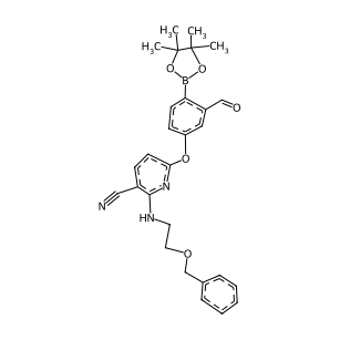 CC1(C)OB(c2ccc(Oc3ccc(C#N)c(NCCOCc4ccccc4)n3)cc2C=O)OC1(C)C